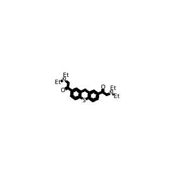 CCN(CC)CC(=O)c1ccc2c(c1)Cc1cc(C(=O)CN(CC)CC)ccc1S2